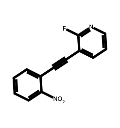 O=[N+]([O-])c1ccccc1C#Cc1cccnc1F